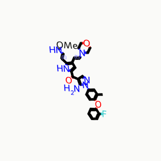 CON/C=C/c1[nH]c(C(=O)c2cnn(-c3ccc(Oc4ccccc4F)c(C)c3)c2N)cc1/C=C/N1CCOCC1